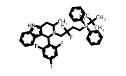 CC1Cc2[nH]c3ccccc3c2C(c2c(F)cc(I)cc2F)N1CC(F)(F)CC[Si](c1ccccc1)(c1ccccc1)C(C)(C)C